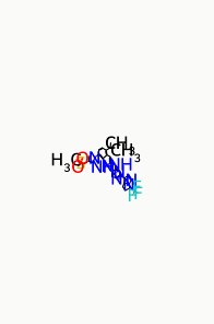 CC(C)c1ccc(N2C[C@H](CS(C)(=O)=O)[C@H]2N)c2cnc(Nc3ccnc(-c4cnn5c4CC[C@H]5C(F)(F)F)n3)cc12